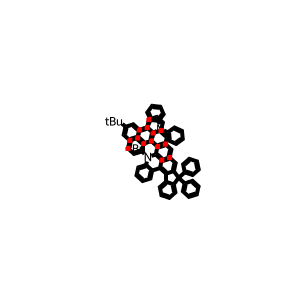 CC(C)(C)c1cc(C2CC=CC3=CC=CC(c4ccccc4N(c4ccccc4-c4cccc5c4-c4ccccc4C5(c4ccccc4)c4ccccc4)c4ccccc4-c4cccc5c6ccccc6n(-c6ccccc6)c45)C32)cc(C(C)(C)C)c1